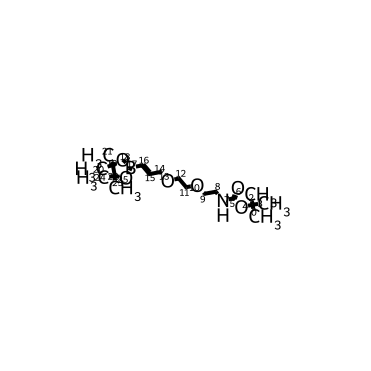 CC(C)(C)OC(=O)NCCOCCOC/C=C/B1OC(C)(C)C(C)(C)O1